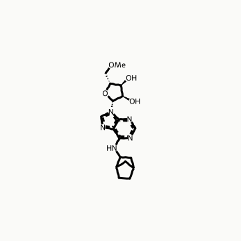 COC[C@H]1O[C@@H](n2cnc3c(NC4CC5CCC4C5)ncnc32)[C@H](O)[C@@H]1O